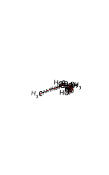 CCCCCCCCCCCCCCCCCC(=O)O[C@@H](C)C(=O)OC1=CC[C@@]2(O)[C@H]3Cc4ccc(CO)c5c4[C@@]2(CCN3C)[C@H]1O5